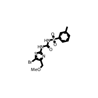 COCc1nc(NC(=O)NS(=O)(=O)c2cccc(C)c2)sc1Br